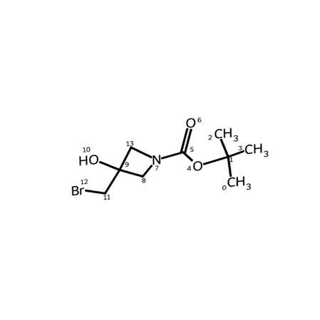 CC(C)(C)OC(=O)N1CC(O)(CBr)C1